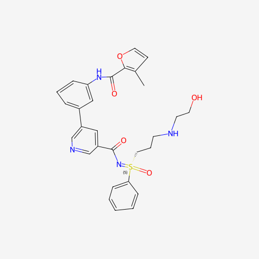 Cc1ccoc1C(=O)Nc1cccc(-c2cncc(C(=O)N=[S@](=O)(CCCNCCO)c3ccccc3)c2)c1